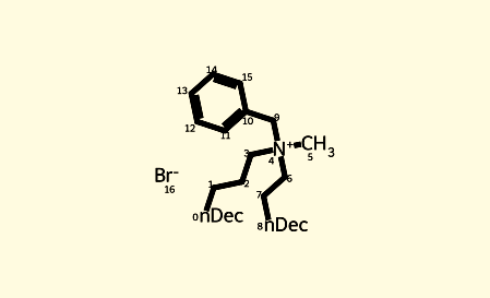 CCCCCCCCCCCCC[N+](C)(CCCCCCCCCCCC)Cc1ccccc1.[Br-]